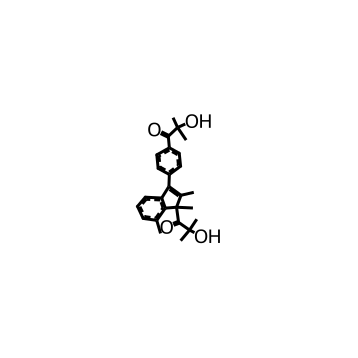 CC1=C(c2ccc(C(=O)C(C)(C)O)cc2)c2cccc(C)c2C1(C)C(=O)C(C)(C)O